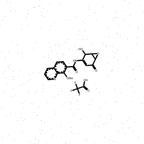 COc1c(C(=O)NC2=CC(=O)C3OC3C2O)ccc2cccnc12.O=C(O)C(F)(F)F